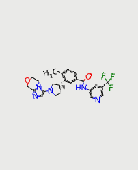 Cc1ccc(C(=O)Nc2cncc(C(F)(F)F)c2)cc1[C@@H]1CCN(c2cnc3n2CCOC3)C1